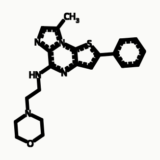 Cc1cnc2c(NCCN3CCOCC3)nc3cc(-c4ccccc4)sc3n12